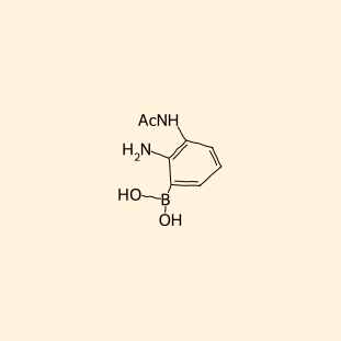 CC(=O)Nc1cccc(B(O)O)c1N